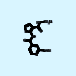 CCOC(=O)NC(=O)c1ccsc1NC(=O)c1ccnc(NC(C)=O)c1